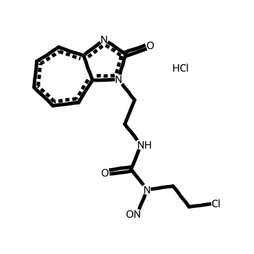 Cl.O=NN(CCCl)C(=O)NCCn1c2cccccc-2nc1=O